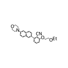 CCOCCOc1cccc(-c2ccc3cc(N4CCOCC4)ccc3c2)c1C#N